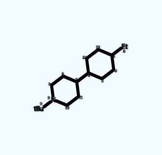 CCC1CCC(C2CCN(C(C)(C)C)CC2)CC1